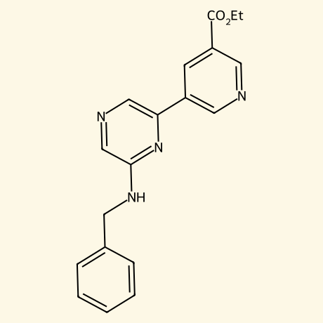 CCOC(=O)c1cncc(-c2cncc(NCc3ccccc3)n2)c1